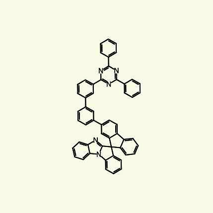 c1ccc(-c2nc(-c3ccccc3)nc(-c3cccc(-c4cccc(-c5ccc6c(c5)C5(c7ccccc7-6)c6ccccc6-n6c5nc5ccccc56)c4)c3)n2)cc1